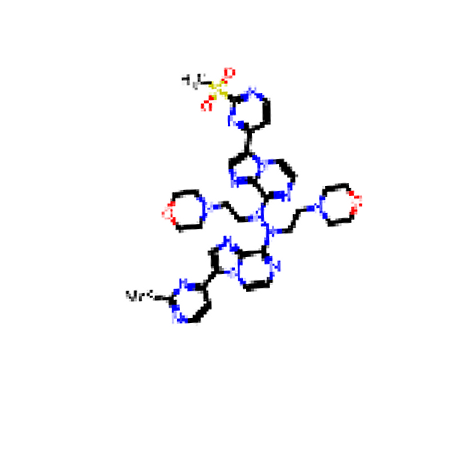 CSc1nccc(-c2cnc3c(N(CCN4CCOCC4)N(CCN4CCOCC4)c4nccn5c(-c6ccnc(S(C)(=O)=O)n6)cnc45)nccn23)n1